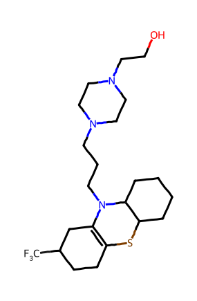 OCCN1CCN(CCCN2C3=C(CCC(C(F)(F)F)C3)SC3CCCCC32)CC1